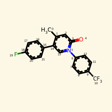 Cc1cc(=O)n(-c2ccc(C(F)(F)F)cc2)cc1-c1ccc(F)cc1